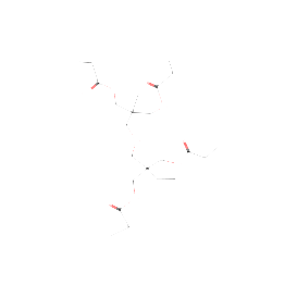 CCC(=O)OCC(C)(COCC(CC)(COC(=O)CC)COC(=O)CC)COC(=O)CC